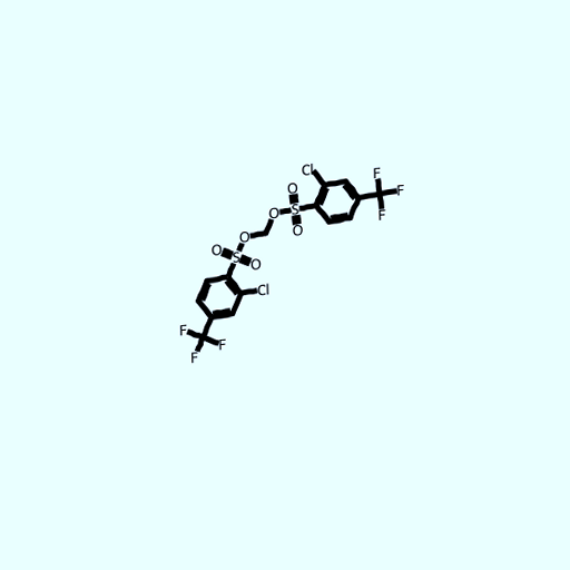 O=S(=O)(OCOS(=O)(=O)c1ccc(C(F)(F)F)cc1Cl)c1ccc(C(F)(F)F)cc1Cl